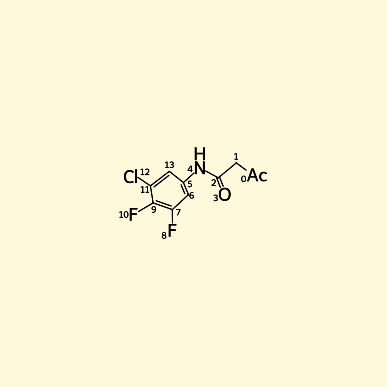 CC(=O)CC(=O)Nc1cc(F)c(F)c(Cl)c1